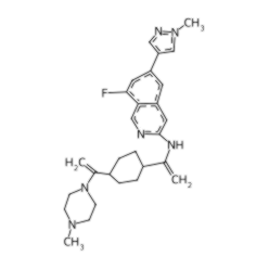 C=C(Nc1cc2cc(-c3cnn(C)c3)cc(F)c2cn1)C1CCC(C(=C)N2CCN(C)CC2)CC1